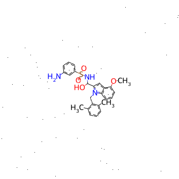 COc1cccc2c1cc(C(O)NS(=O)(=O)c1cccc(N)c1)n2Cc1c(C)cccc1C